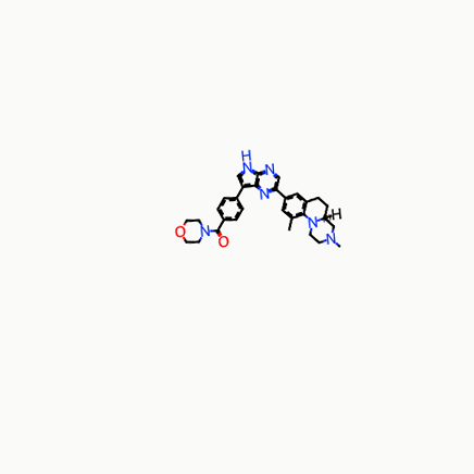 Cc1cc(-c2cnc3[nH]cc(-c4ccc(C(=O)N5CCOCC5)cc4)c3n2)cc2c1N1CCN(C)C[C@H]1CC2